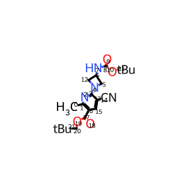 Cc1nc(N2CC(NC(=O)OC(C)(C)C)C2)c(C#N)cc1C(=O)OCC(C)(C)C